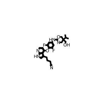 CC(C)C1(CO)CN=C(Nc2cc(F)c(Oc3ccnc4[nH]cc(CCCC#N)c34)c(F)c2)OC1